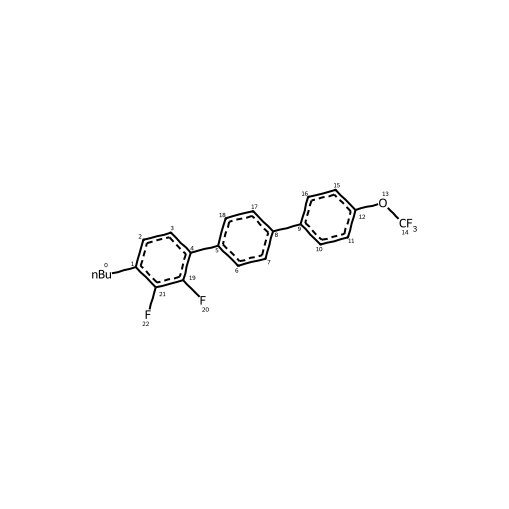 CCCCc1ccc(-c2ccc(-c3ccc(OC(F)(F)F)cc3)cc2)c(F)c1F